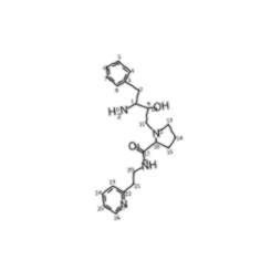 NC(Cc1ccccc1)C(O)CN1CCCC1C(=O)NCCc1ccccn1